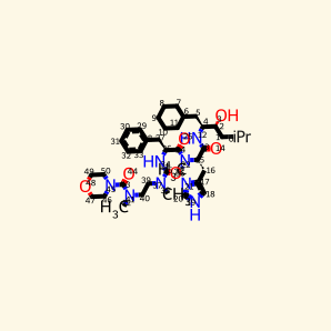 CC(C)C[C@H](O)[C@H](CC1CCCCC1)NC(=O)[C@H](Cc1c[nH]cn1)N(C)C(=O)[C@H](Cc1ccccc1)NC(=O)N(C)CCN(C)C(=O)N1CCOCC1